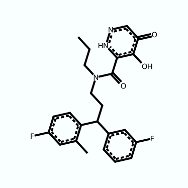 CCCN(CCC(c1cccc(F)c1)c1ccc(F)cc1C)C(=O)c1[nH]ncc(=O)c1O